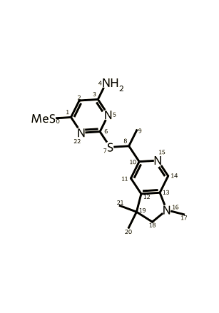 CSc1cc(N)nc(SC(C)c2cc3c(cn2)N(C)CC3(C)C)n1